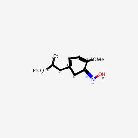 CCOC(=O)C(CC)CC1=CC=C(OC)/C(=N\O)C1